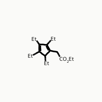 CCOC(=O)CC1=C(CC)C(CC)=C(CC)C1CC